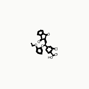 CCOc1ccccc1OC(C=C1C(=O)c2ccccc2C1=O)c1ccc(C(=O)O)c(Cl)c1